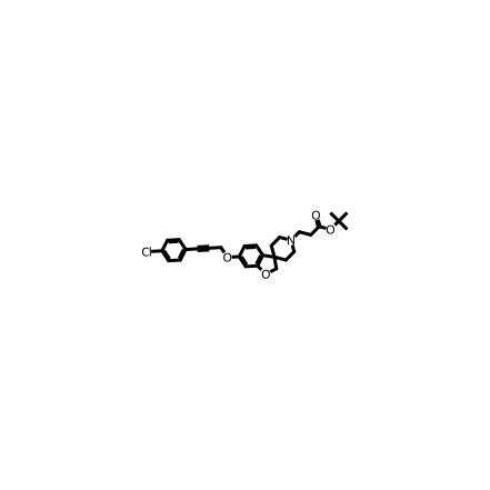 CC(C)(C)OC(=O)CCN1CCC2(CC1)COc1cc(OCC#Cc3ccc(Cl)cc3)ccc12